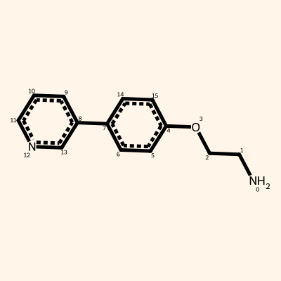 NCCOc1ccc(-c2cccnc2)cc1